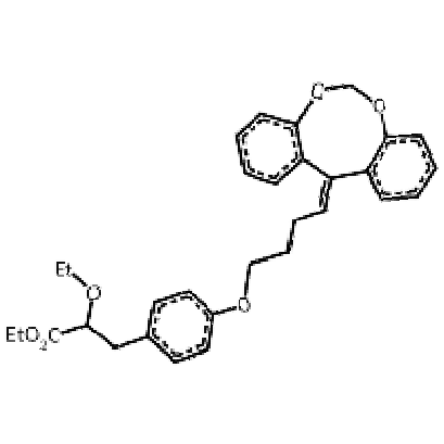 CCOC(=O)C(Cc1ccc(OCCCC=C2c3ccccc3OCOc3ccccc32)cc1)OCC